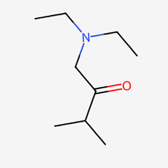 CCN(CC)CC(=O)C(C)C